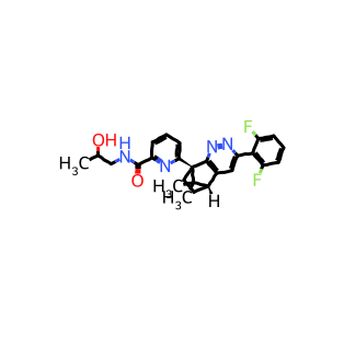 CC(O)CNC(=O)c1cccc([C@@]23CC[C@@H](c4cc(-c5c(F)cccc5F)nnc42)C3(C)C)n1